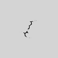 COCC(C)C(=O)NCCCC(C)SC